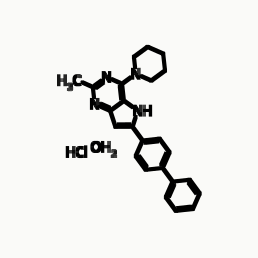 Cc1nc(N2CCCCC2)c2[nH]c(-c3ccc(-c4ccccc4)cc3)cc2n1.Cl.O